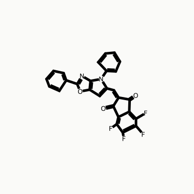 O=C1C(=Cc2cc3oc(-c4ccccc4)nc3n2-c2ccccc2)C(=O)c2c(F)c(F)c(F)c(F)c21